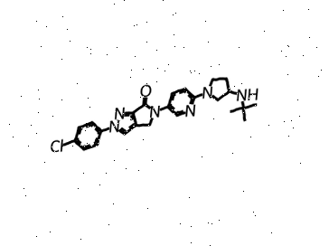 CC(C)(C)NC1CCN(c2ccc(N3Cc4cn(-c5ccc(Cl)cc5)nc4C3=O)cn2)C1